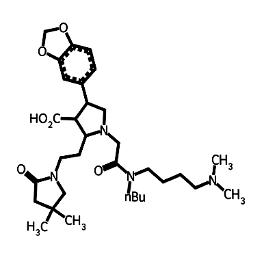 CCCCN(CCCCN(C)C)C(=O)CN1CC(c2ccc3c(c2)OCO3)C(C(=O)O)C1CCN1CC(C)(C)CC1=O